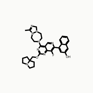 CC1=NCN2CCN(c3nc(OCC45CCCN4CCC5)nc4c(F)c(-c5cc(O)cc6ccccc56)ncc34)CCN12